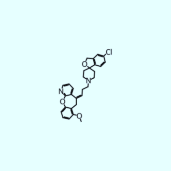 COc1cccc2c1C/C(=C/CCN1CCC3(CC1)OCc1cc(Cl)ccc13)c1cccnc1O2